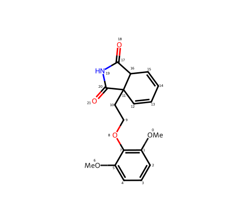 COc1cccc(OC)c1OCCC12C=CC=CC1C(=O)NC2=O